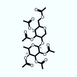 CC(=O)OCC1OCC(O[C@@H]2OC(C)[C@H](OC(C)=O)C(OC(C)=O)C2OC(C)=O)C(OC(C)=O)[C@@H]1OC(C)=O